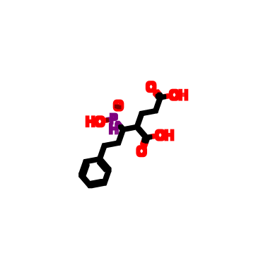 O=C(O)CCC(C(=O)O)C(CCc1ccccc1)[PH](=O)O